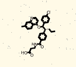 CCC[C@H](c1ccc(C(=O)NCCC(=O)O)cc1)C(Oc1ccnc2cc(C)ccc12)c1ccc(Cl)cc1